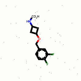 O=C(O)NC1CC(OCc2ccc(F)c(F)c2)C1